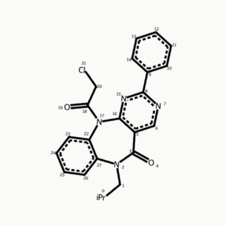 CC(C)CN1C(=O)c2cnc(-c3ccccc3)nc2N(C(=O)CCl)c2ccccc21